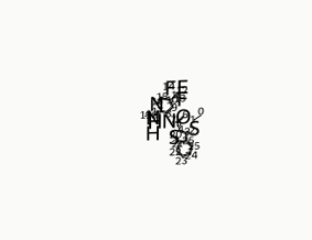 CCSc1c(C(=O)Nc2cc(C(F)(F)F)cnc2NC)sc2ccccc12